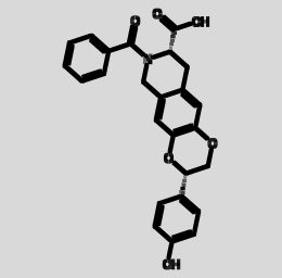 O=C(O)[C@@H]1Cc2cc3c(cc2CN1C(=O)c1ccccc1)O[C@@H](c1ccc(O)cc1)CO3